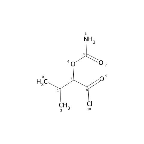 CC(C)C(OC(N)=O)C(=O)Cl